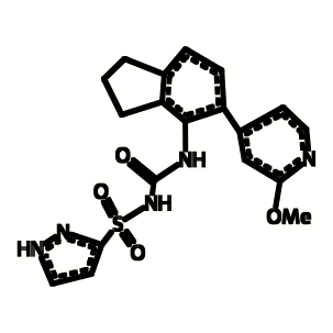 COc1cc(-c2ccc3c(c2NC(=O)NS(=O)(=O)c2cc[nH]n2)CCC3)ccn1